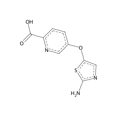 Nc1ncc(Oc2ccc(C(=O)O)nc2)s1